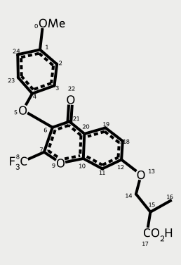 COc1ccc(Oc2c(C(F)(F)F)oc3cc(OCC(C)C(=O)O)ccc3c2=O)cc1